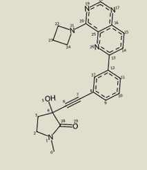 CN1CCC(O)(C#Cc2cccc(-c3ccc4ncnc(N5CCC5)c4n3)c2)C1=O